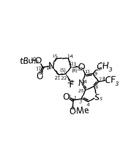 COC(=O)c1csc2c(C(F)(F)F)c(C)c(O[C@@H]3CCN(C(=O)OC(C)(C)C)C[C@@H]3F)nc12